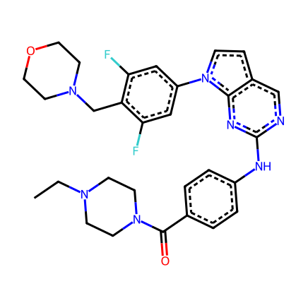 CCN1CCN(C(=O)c2ccc(Nc3ncc4ccn(-c5cc(F)c(CN6CCOCC6)c(F)c5)c4n3)cc2)CC1